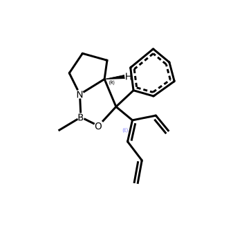 C=C/C=C(\C=C)C1(c2ccccc2)OB(C)N2CCC[C@@H]21